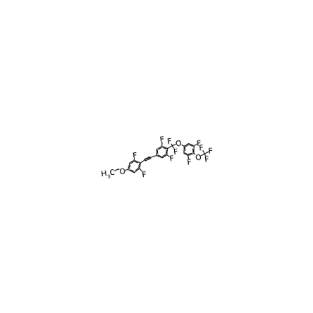 CCOc1cc(F)c(C#Cc2cc(F)c(C(F)(F)Oc3cc(F)c(OC(F)(F)F)c(F)c3)c(F)c2)c(F)c1